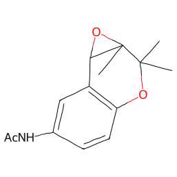 CC(=O)Nc1ccc2c(c1)C1OC1(C)C(C)(C)O2